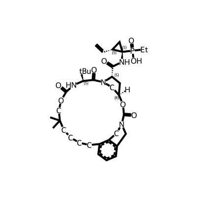 C=C[C@@H]1C[C@]1(NC(=O)[C@@H]1C[C@@H]2CN1C(=O)[C@H](C(C)(C)C)NC(=O)OCC(C)(C)CCCCc1cccc3c1CN(C3)C(=O)O2)P(=O)(O)CC